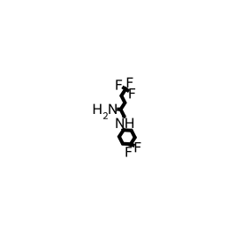 NC(CCC(F)(F)F)CNC1CCC(F)(F)CC1